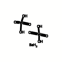 [BaH2].[O]=[W](=[O])([OH])[OH].[O]=[W](=[O])([OH])[OH]